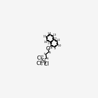 Cl[Si](Cl)(Cl)CCCOc1cccc2ccccc12